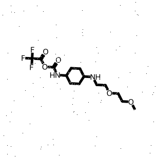 COCCOCCNC1CCC(NC(=O)OC(=O)C(F)(F)F)CC1